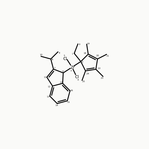 CC[C]1([Zr]([Cl])([Cl])[CH]2C(C(C)C)=Cc3ccccc32)C(C)=C(C)C(C)=C1C